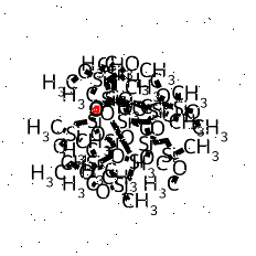 CCO[Si](C)(C)C[Si]12O[Si]3(C[Si](C)(C)OC)O[Si]4(C[Si](C)(C)OC)O[Si]5(C[Si](C)(C)OC)O[Si](C[Si](C)(C)OC)(O3)O[Si](C[Si](C)(C)OC)(O[Si](C[Si](C)(C)OC)(O5)O[Si](C[Si](C)(C)OC)(O4)O1)O2